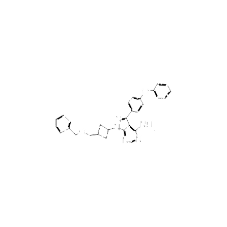 Nc1ncnc2c1c(-c1ccc(Oc3ccccc3)cc1)nn2C1CC(COCc2ccccc2)C1